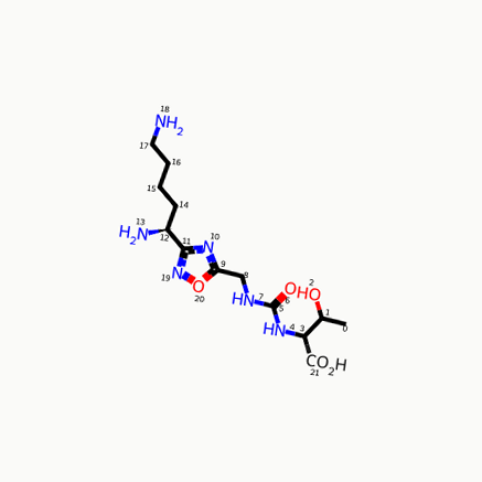 CC(O)C(NC(=O)NCc1nc([C@@H](N)CCCCN)no1)C(=O)O